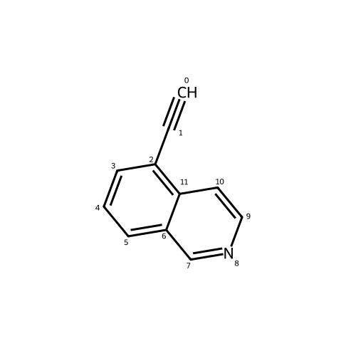 C#Cc1cccc2cnccc12